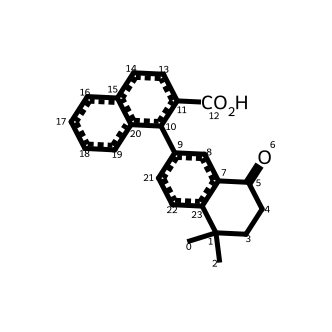 CC1(C)CCC(=O)c2cc(-c3c(C(=O)O)ccc4ccccc34)ccc21